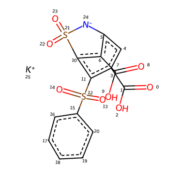 O=C(O)c1cc2c(C(=O)O)c(c1S(=O)(=O)c1ccccc1)S(=O)(=O)[N-]2.[K+]